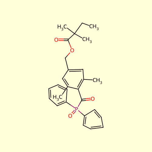 CCC(C)(C)C(=O)OCc1cc(C)c(C(=O)P(=O)(c2ccccc2)c2ccccc2)c(C)c1